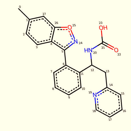 Cc1ccc2c(-c3ccccc3C(Cc3ccccn3)NC(=O)O)noc2c1